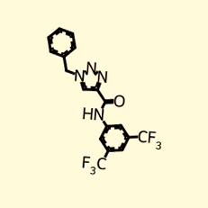 O=C(Nc1cc(C(F)(F)F)cc(C(F)(F)F)c1)c1cn(Cc2ccccc2)nn1